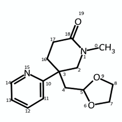 CN1CC(CC2OCCO2)(c2ccccn2)CCC1=O